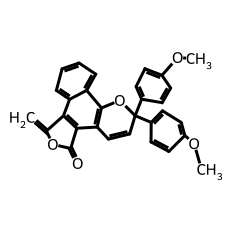 C=C1OC(=O)c2c3c(c4ccccc4c21)OC(c1ccc(OC)cc1)(c1ccc(OC)cc1)C=C3